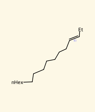 [CH2]C/C=C/CCCCCCCCCCCCC